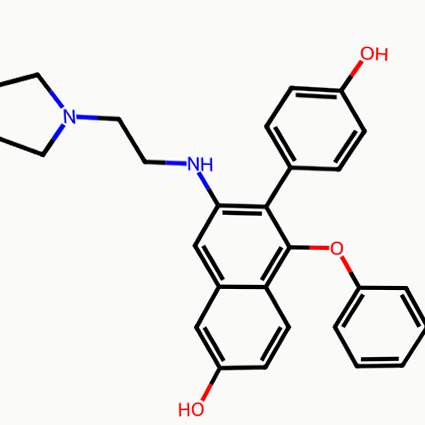 Oc1ccc(-c2c(NCCN3CCCC3)cc3cc(O)ccc3c2Oc2ccccc2)cc1